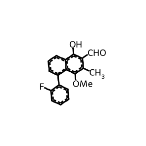 COc1c(C)c(C=O)c(O)c2cccc(-c3ccccc3F)c12